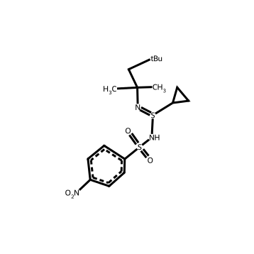 CC(C)(C)CC(C)(C)N=S(NS(=O)(=O)c1ccc([N+](=O)[O-])cc1)C1CC1